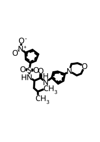 CC(C)CC(NS(=O)(=O)c1cccc([N+](=O)[O-])c1)C(=O)Nc1ccc(N2CCOCC2)cc1